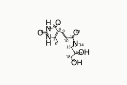 Cc1[nH]c(=O)[nH]c(=O)c1/C=C/C(=O)N(C)CC(O)CO